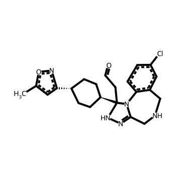 Cc1cc([C@H]2CC[C@H](C3(CC=O)NN=C4CNCc5cc(Cl)ccc5N43)CC2)no1